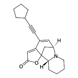 O=C1C=C2C(C#CC3CCCC3)=C[C@@H]3CC2(O1)[C@H]1CCCCN31